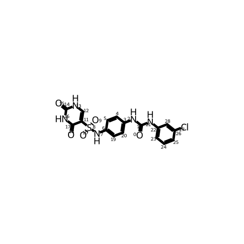 O=C(Nc1ccc(NS(=O)(=O)c2c[nH]c(=O)[nH]c2=O)cc1)Nc1cccc(Cl)c1